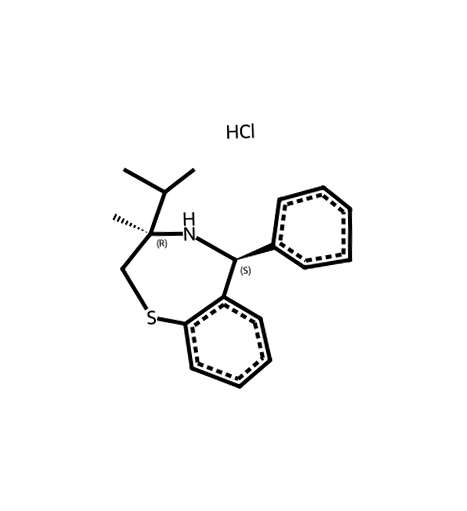 CC(C)[C@]1(C)CSc2ccccc2[C@H](c2ccccc2)N1.Cl